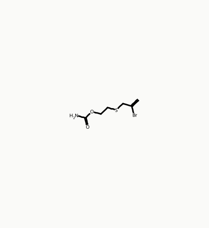 C=C(Br)CSCCOC(N)=O